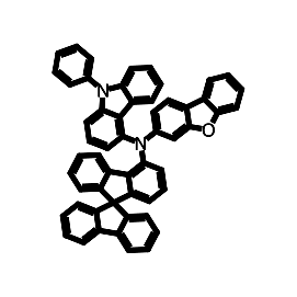 c1ccc(-n2c3ccccc3c3c(N(c4ccc5c(c4)oc4ccccc45)c4cccc5c4-c4ccccc4C54c5ccccc5-c5ccccc54)cccc32)cc1